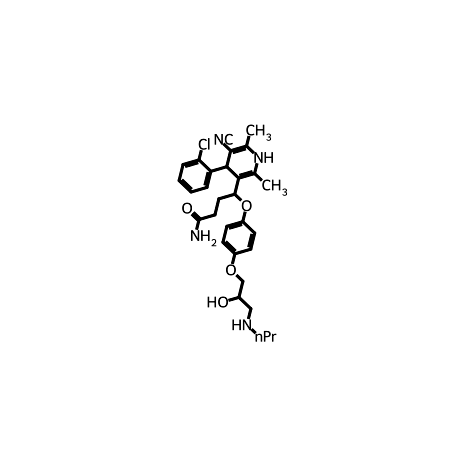 CCCNCC(O)COc1ccc(OC(CCC(N)=O)C2=C(C)NC(C)=C(C#N)C2c2ccccc2Cl)cc1